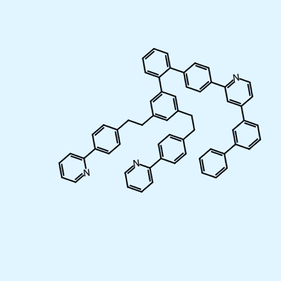 c1ccc(-c2cccc(-c3ccnc(-c4ccc(-c5ccccc5-c5cc(CCc6ccc(-c7ccccn7)cc6)cc(CCc6ccc(-c7ccccn7)cc6)c5)cc4)c3)c2)cc1